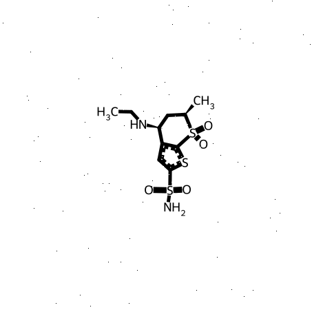 CCN[C@H]1C[C@@H](C)S(=O)(=O)c2sc(S(N)(=O)=O)cc21